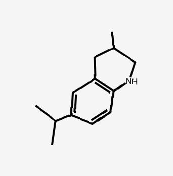 CC1CNc2ccc(C(C)C)cc2C1